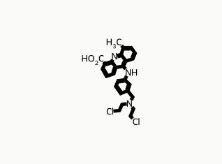 Cc1cccc2c(Nc3cccc(CN(CCCl)CCCl)c3)c3cccc(C(=O)O)c3nc12